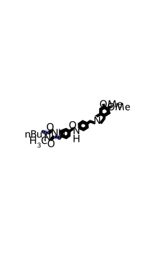 CCCC/C=c1/c(=O)[nH]/c(=C\c2ccc(C(=O)Nc3ccc(CCN4CCc5cc(OC)c(OC)cc5C4)cc3)cc2)c(=O)n1C